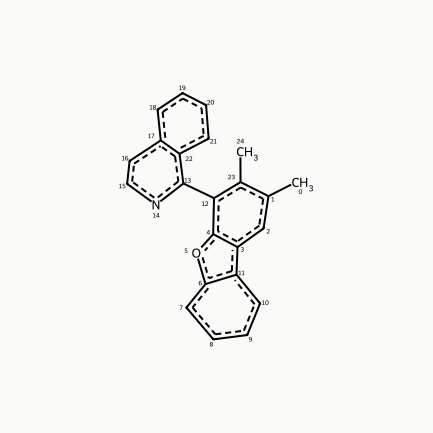 Cc1cc2c(oc3ccccc32)c(-c2nccc3ccccc23)c1C